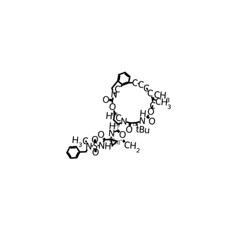 C=C[C@@H]1C[C@]1(NC(=O)[C@@H]1C[C@@H]2CN1C(=O)[C@H](C(C)(C)C)NC(=O)OCC(C)(C)CCCCc1cccc3c1CN(C3)C(=O)O2)C(=O)NS(=O)(=O)N(C)Cc1ccccc1